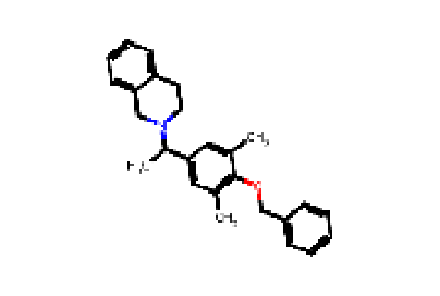 Cc1cc(C(C)N2CCc3ccccc3C2)cc(C)c1OCc1ccccc1